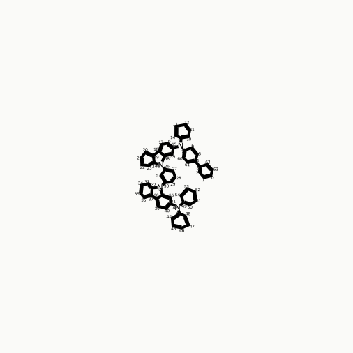 c1ccc(-c2ccc(N(c3ccccc3)c3ccc4c5ccccc5n(-c5cccc(-n6c7ccccc7c7ccc(N(c8ccccc8)c8ccccc8)cc76)c5)c4c3)cc2)cc1